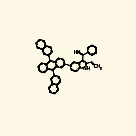 C=Cc1[nH]c2ccc(-c3ccc4c(-c5ccc6ccccc6c5)c5ccccc5c(-c5ccc6ccccc6c5)c4c3)cc2c1C(=N)c1ccccc1